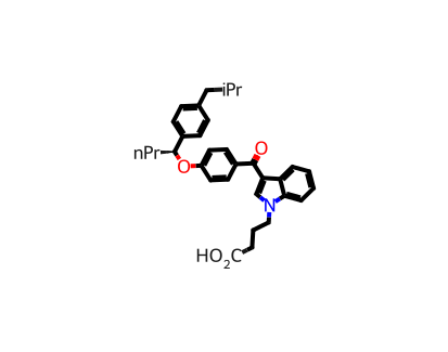 CCC[C@H](Oc1ccc(C(=O)c2cn(CCCC(=O)O)c3ccccc23)cc1)c1ccc(CC(C)C)cc1